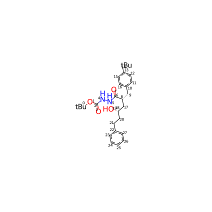 CC(C)(C)OC(=O)NNC(=O)[C@H](Cc1ccc(C(C)(C)C)cc1)C[C@@H](O)CCc1ccccc1